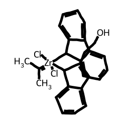 C[C](C)=[Zr]([Cl])([Cl])([CH]1C(CCO)=Cc2ccccc21)[CH]1c2ccccc2-c2ccccc21